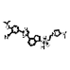 CC(C)Oc1ccc(-c2ncc(-c3cccc4c3CC[C@H]4NS(=O)(=O)CCN3CC[C@H](N(C)C)C3)s2)cc1C#N